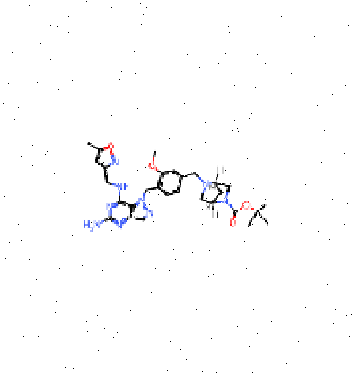 COc1cc(CN2C[C@@H]3C[C@H]2CN3C(=O)OC(C)(C)C)ccc1Cn1ncc2nc(N)nc(NCc3cc(C)on3)c21